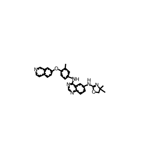 Cc1cc(Nc2ncnc3ccc(NC4=NC(C)(C)CO4)cc23)ccc1Oc1ccc2ccncc2c1